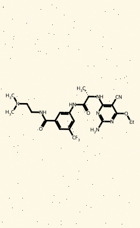 CCOc1nc(N)nc(N[C@@H](C)C(=O)Nc2cc(C(=O)NCCN(C)C)cc(C(F)(F)F)c2)c1C#N